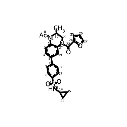 CC(=O)N1c2ccc(-c3ccc(S(=O)(=O)NC4CC4)cc3)cc2N(C(=O)c2ccco2)CC1C